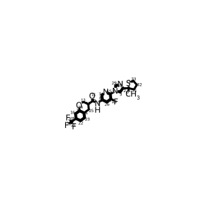 CC1(c2cn(-c3ncc(NC(=O)C4COc5cc(C(F)(F)F)ccc5C4)cc3F)cn2)CCCS1